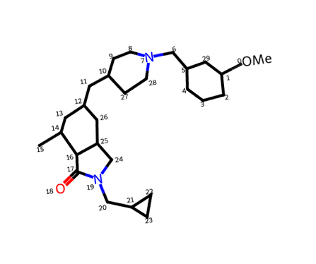 COC1CCCC(CN2CCC(CC3CC(C)C4C(=O)N(CC5CC5)CC4C3)CC2)C1